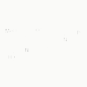 COC(=O)N(C)CC1CN(C(C)C)C1